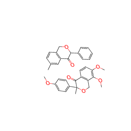 COc1ccc(C2(C)OCc3c(ccc(OC)c3OC)C2=O)cc1.Cc1ccc2c(c1)C(=O)C(c1ccccc1)OC2